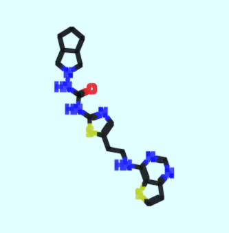 O=C(Nc1ncc(CCNc2ncnc3ccsc23)s1)NN1CC2CCCC2C1